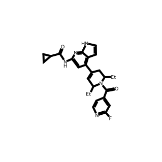 CCC1C=C(c2cc(NC(=O)C3CC3)nc3[nH]ccc23)CC(CC)N1C(=O)c1ccnc(F)c1